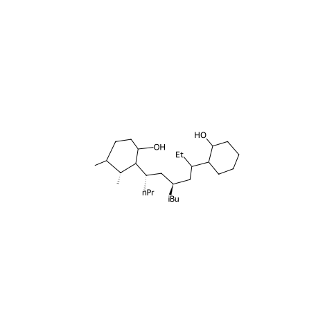 CCC[C@@H](C[C@@H](CC(CC)C1CCCCC1O)C(C)CC)C1C(O)CCC(C)[C@H]1C